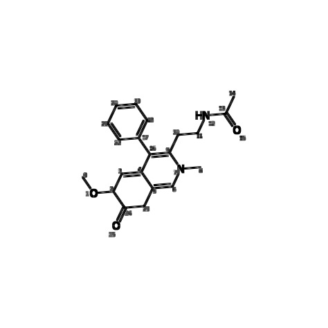 COC1C=C2C(=CN(C)C(CCNC(C)=O)=C2c2ccccc2)CC1=O